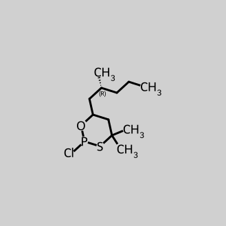 CCC[C@@H](C)CC1CC(C)(C)SP(Cl)O1